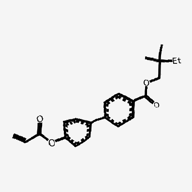 C=CC(=O)Oc1ccc(-c2ccc(C(=O)OCC(C)(C)CC)cc2)cc1